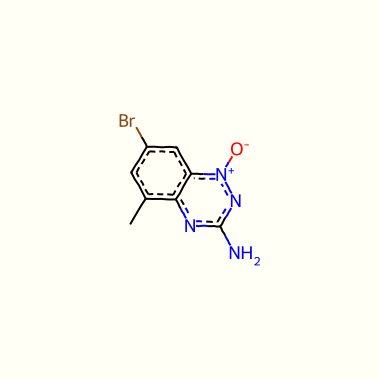 Cc1cc(Br)cc2c1nc(N)n[n+]2[O-]